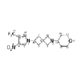 O=[N+]([O-])c1cn(C2CC3(C2)CN(C2CCOCC2)C3)nc1C(F)(F)F